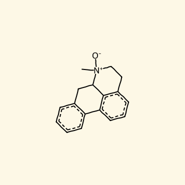 C[N+]1([O-])CCc2cccc3c2C1Cc1ccccc1-3